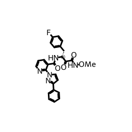 CONC(=O)C(=O)[C@@H](Cc1ccc(F)cc1)NC(=O)c1cccnc1-n1ccc(-c2ccccc2)n1